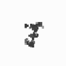 Nc1cc(N)nc(SCCCC(=O)NCC=CCOc2cc(CN3CCCCC3)ccn2)n1